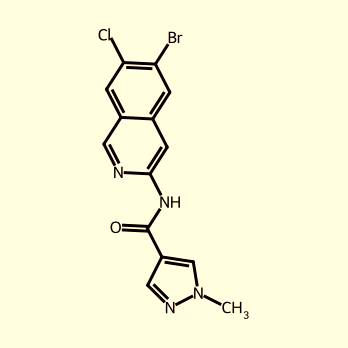 Cn1cc(C(=O)Nc2cc3cc(Br)c(Cl)cc3cn2)cn1